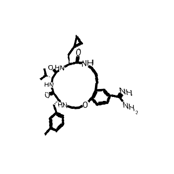 Cc1cccc(C[C@H]2NCCOc3ccc(C(=N)N)cc3CCCNC(=O)[C@H](CC3CC3)NC(=O)[C@@H](C(C)C)NC2=O)c1